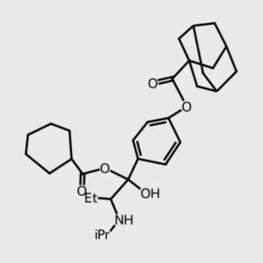 CCC(NC(C)C)C(O)(OC(=O)C1CCCCC1)c1ccc(OC(=O)C23CC4CC(CC(C4)C2)C3)cc1